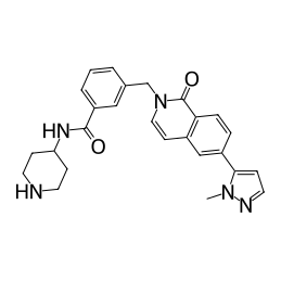 Cn1nccc1-c1ccc2c(=O)n(Cc3cccc(C(=O)NC4CCNCC4)c3)ccc2c1